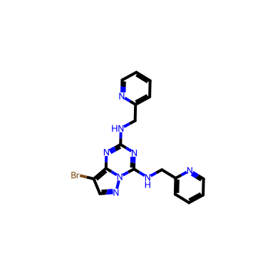 Brc1cnn2c(NCc3ccccn3)nc(NCc3ccccn3)nc12